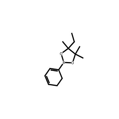 CCC1(C)OB(C2=CC=CCC2)OC1(C)C